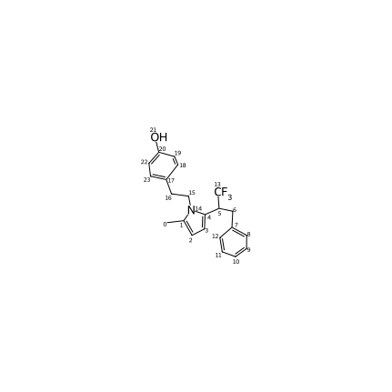 Cc1ccc(C(Cc2ccccc2)C(F)(F)F)n1CCc1ccc(O)cc1